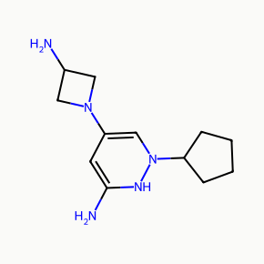 NC1=CC(N2CC(N)C2)=CN(C2CCCC2)N1